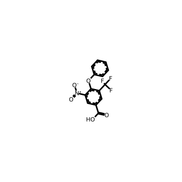 O=C(O)c1cc([N+](=O)[O-])c(Oc2ccccc2)c(C(F)(F)F)c1